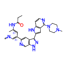 C=N/C=C(\C=C(/C)NC(=O)CC)c1cc2c(-c3cc4c(N5CCN(C)CC5)nccc4[nH]3)n[nH]c2cn1